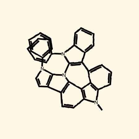 Cn1c2cccc3c2c2c1ccc1c4ccn(-c5ccccc5)c4n(c12)c1c3c2ccccc2n1-c1ccccc1